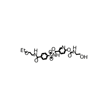 CCOCCNC(=O)c1ccc(S(=O)(=O)NC(=O)c2ccc(OC(=O)NCCO)nc2)cc1